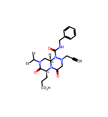 C#CCN1CC(=O)N2[C@@H](CCC(=O)O)C(=O)N(C(CC)CC)C[C@@H]2N1C(=O)NCc1ccccc1